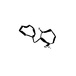 Fc1cc[c]c(C(F)(F)F)c1Cc1ccccc1